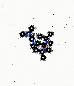 N#Cc1cc(-n2c3ccccc3c3cc(-c4cc5c6c(c4)N(c4cc(-c7ccccc7)cc(-c7ccccc7)c4)c4ccccc4B6c4ccccc4N5c4cc(-c5ccccc5)cc(-c5ccccc5)c4)ccc32)ccc1-c1nc(-c2ccccc2)cc(-c2ccccc2)n1